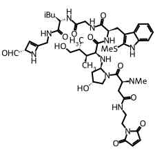 CC[C@H](C)[C@H](NC(=O)CNC(=O)[C@@H](Cc1c(SC)[nH]c2ccccc12)NC(=O)[C@@H](N[C@@H]1C[C@@H](O)CN1C(=O)[C@H](CC(=O)NCCN1C(=O)C=CC1=O)NC)[C@@H](C)[C@@H](C)CO)C(=O)NCC1=C[C@@H](C=O)N1